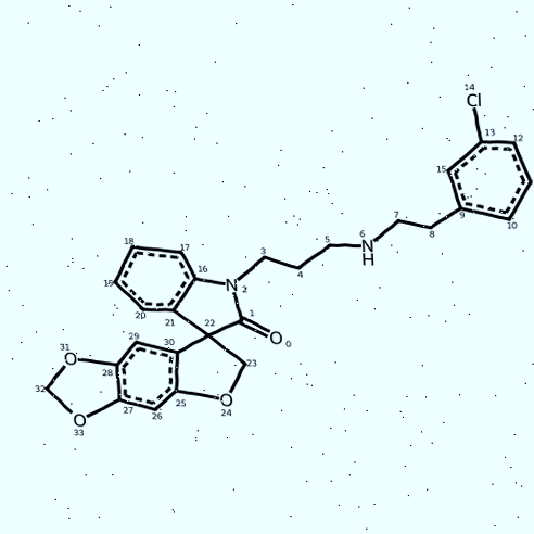 O=C1N(CCCNCCc2cccc(Cl)c2)c2ccccc2C12COc1cc3c(cc12)OCO3